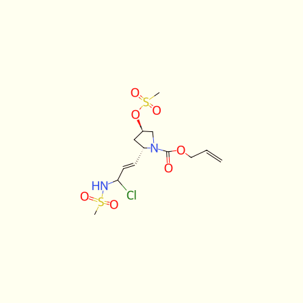 C=CCOC(=O)N1C[C@H](OS(C)(=O)=O)C[C@H]1C=CC(Cl)NS(C)(=O)=O